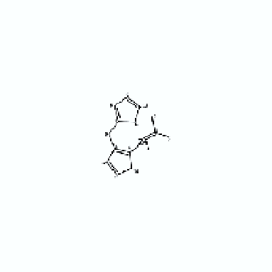 C[C](C)=[Zn][C]1=C(CC2=CC=CC2)C=CC1